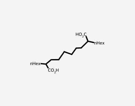 CCCCCCC(CCCCCCC(CCCCCC)C(=O)O)C(=O)O